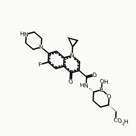 O=C(O)C[C@@H]1CC[C@H](NC(=O)c2cn(C3CC3)c3cc(N4CCNCC4)c(F)cc3c2=O)B(O)O1